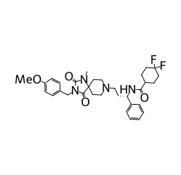 COc1ccc(CN2C(=O)N(C)C3(CCN(CC[C@H](NC(=O)C4CCC(F)(F)CC4)c4ccccc4)CC3)C2=O)cc1